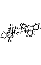 Cc1nc(-c2onc(C)c2Nc2cncc(-c3ccccc3)n2)ccc1NC(=O)C1CCCCC1C(=O)O